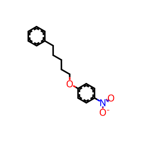 O=[N+]([O-])c1ccc(OCCCCCc2ccccc2)cc1